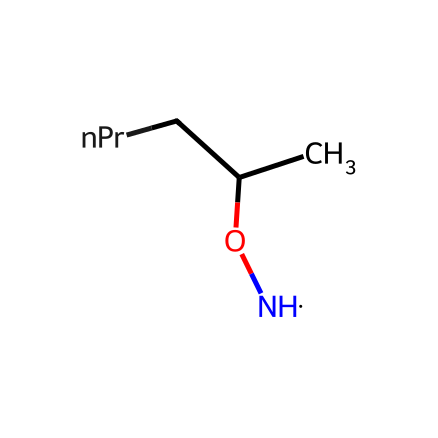 CCCCC(C)O[NH]